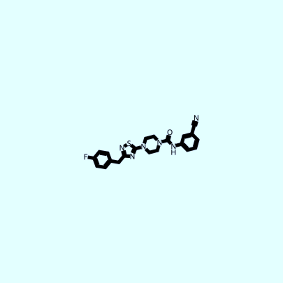 N#Cc1cccc(NC(=O)N2CCN(c3nc(Cc4ccc(F)cc4)ns3)CC2)c1